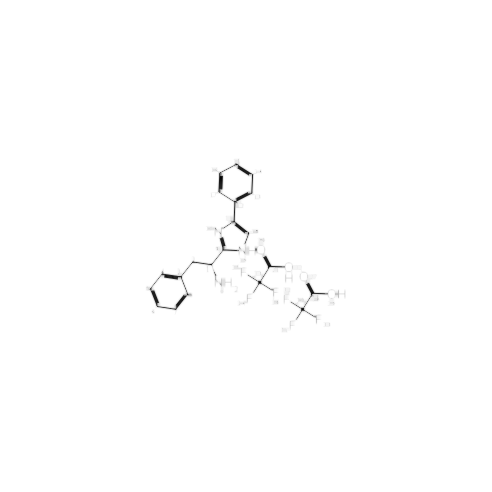 N[C@@H](Cc1ccccc1)c1nc(-c2ccccc2)c[nH]1.O=C(O)C(F)(F)F.O=C(O)C(F)(F)F